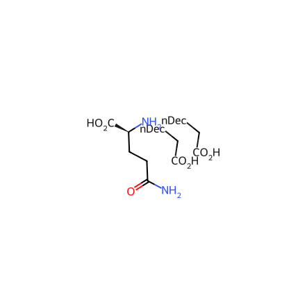 CCCCCCCCCCCC(=O)O.CCCCCCCCCCCC(=O)O.NC(=O)CC[C@H](N)C(=O)O